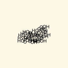 Nc1c(O)c(C(=O)OC(=O)C(=O)O)c2c(c1OC(=O)C(C(O)C(O)C(O)C(=O)O)C1C(O)C(C(=O)OC(C(=O)O)C(O)c3c(O)c(O)c(C(=O)O)c(S)c3O)=C(O)C(C(=O)O)C1O)OC(O)C(C(=O)O)=C2O